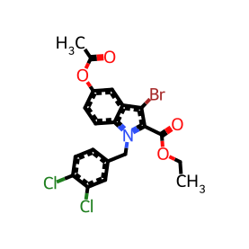 CCOC(=O)c1c(Br)c2cc(OC(C)=O)ccc2n1Cc1ccc(Cl)c(Cl)c1